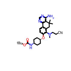 CN(CCC#N)c1c(O[C@H]2CC[C@H](NC(=O)OC(C)(C)C)CC2)ccc2c1CC(C)(C)c1c(N)ncnc1-2